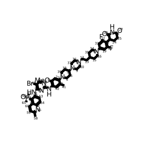 COc1cc(N2CCC(N3CCN(CCC4CCN(c5cc(F)c(C6CCC(=O)NC6=O)c(F)c5)CC4)CC3)CC2)c(C)cc1Nc1ncc(Br)c(Nc2ccc3nc(C)ccc3c2P(C)(C)=O)n1